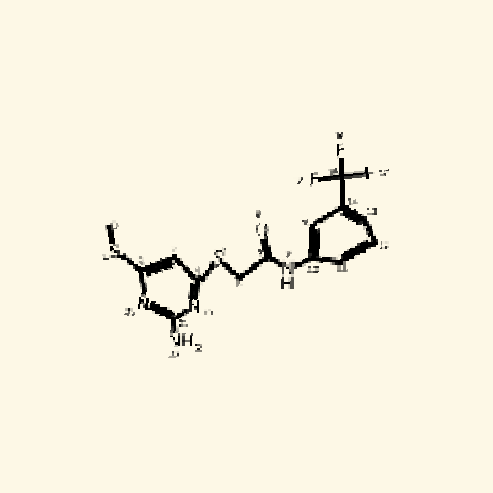 CSc1cc(SCC(=O)Nc2cccc(C(F)(F)F)c2)nc(N)n1